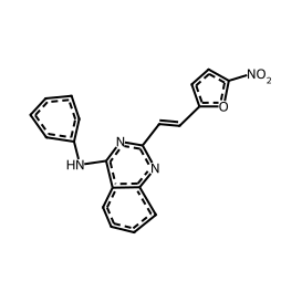 O=[N+]([O-])c1ccc(C=Cc2nc(Nc3ccccc3)c3ccccc3n2)o1